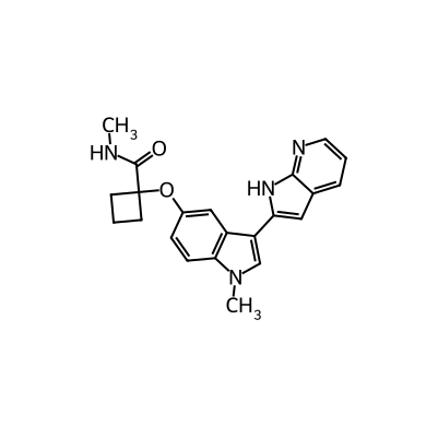 CNC(=O)C1(Oc2ccc3c(c2)c(-c2cc4cccnc4[nH]2)cn3C)CCC1